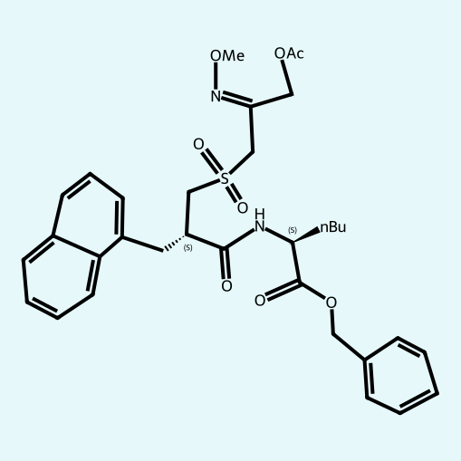 CCCC[C@H](NC(=O)[C@H](Cc1cccc2ccccc12)CS(=O)(=O)CC(COC(C)=O)=NOC)C(=O)OCc1ccccc1